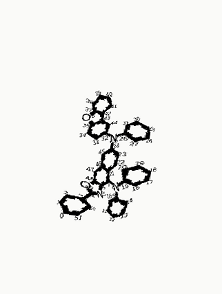 c1ccc(-c2nc3c(N(c4ccccc4)c4ccccc4)c4ccc(N(c5ccccc5)c5ccc6oc7ccccc7c6c5)cc4cc3o2)cc1